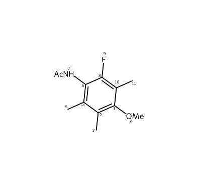 COc1c(C)c(C)c(NC(C)=O)c(F)c1C